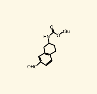 CC(C)(C)OC(=O)NC1CCc2ccc(C=O)cc2C1